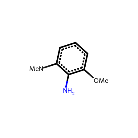 CNc1cccc(OC)c1N